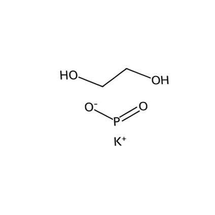 O=P[O-].OCCO.[K+]